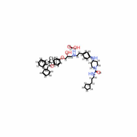 CC(C)(C)[Si](Oc1ccc(OC[C@@H](O)CNCCc2ccc(NC3CCN(C(=O)NCCCC4CCCC4)CC3)cc2)cc1)(c1ccccc1)c1ccccc1.O=CO